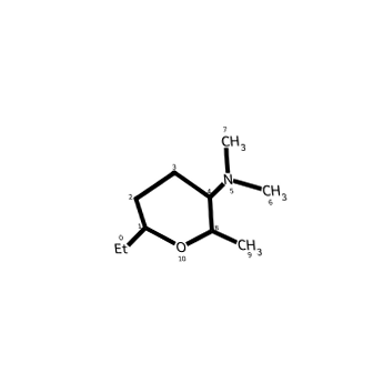 CCC1CCC(N(C)C)C(C)O1